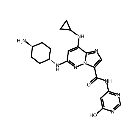 N[C@H]1CC[C@H](Nc2cc(NC3CC3)c3ncc(C(=O)Nc4cc(O)ncn4)n3n2)CC1